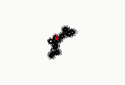 c1ccc(-c2ccccc2N(c2ccc(-c3ccc(-n4c5ccccc5c5c6ccccc6ccc54)cc3)cc2)c2ccc(-c3cccc4c3sc3ccccc34)cc2)cc1